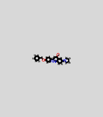 O=c1cc(-c2ccc(OCc3ccccc3)cc2)[nH]c2ccc(N3CCCC3)cc12